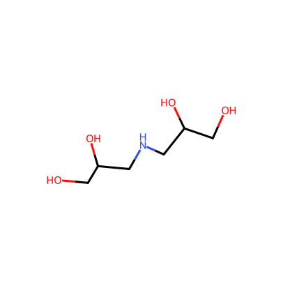 OCC(O)CNCC(O)CO